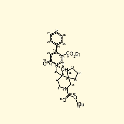 CCOC(=O)c1cn(CC2(O)CCN(C(=O)OC(C)(C)C)CC23CCCC3)c(=O)cc1-c1ccccc1